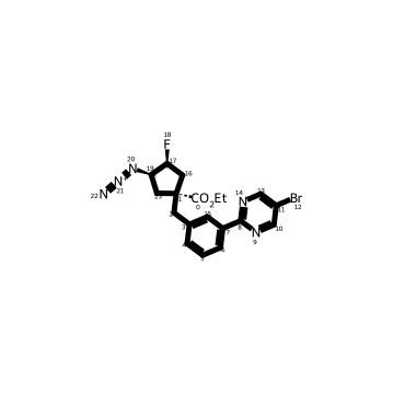 CCOC(=O)[C@@]1(Cc2cccc(-c3ncc(Br)cn3)c2)C[C@H](F)[C@H](N=[N+]=[N-])C1